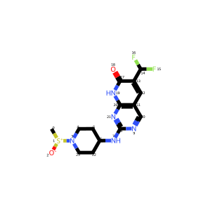 C[S+]([O-])N1CCC(Nc2ncc3cc(C(F)F)c(=O)[nH]c3n2)CC1